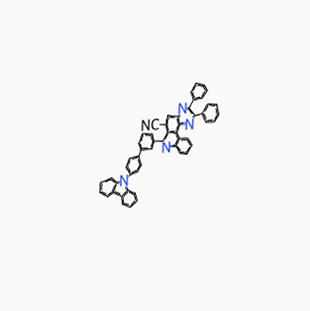 N#Cc1cc2nc(-c3ccccc3)c(-c3ccccc3)nc2c2c1c(-c1cccc(-c3ccc(-n4c5ccccc5c5ccccc54)cc3)c1)nc1ccccc12